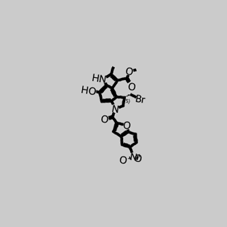 COC(=O)c1c(C)[nH]c2c(O)cc3c(c12)[C@H](CBr)CN3C(=O)c1cc2cc([N+](=O)[O-])ccc2o1